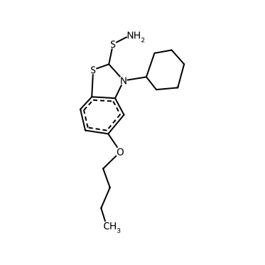 CCCCOc1ccc2c(c1)N(C1CCCCC1)C(SN)S2